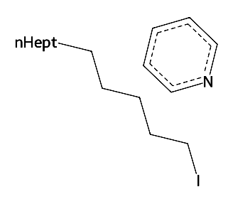 CCCCCCCCCCCCI.c1ccncc1